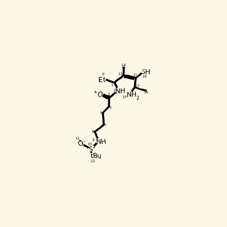 CCC(NC(=O)CCCCN[S+]([O-])C(C)(C)C)/C(C)=C(/S)C(C)N